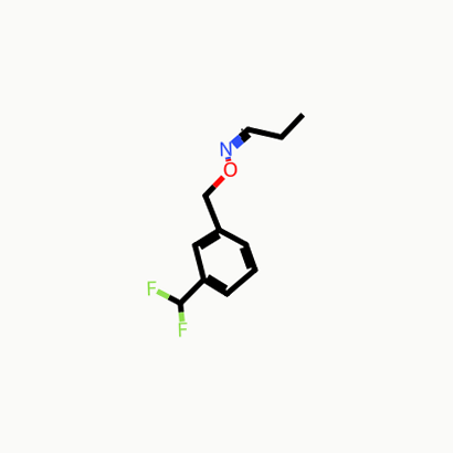 CC/[C]=N\OCc1cccc(C(F)F)c1